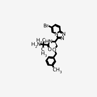 Cc1cccc(COC[C@@H](NC(=O)C(C)(C)N)c2nnc3ccc(Br)cn23)c1